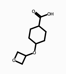 O=C(O)C1CCC(OC2COC2)CC1